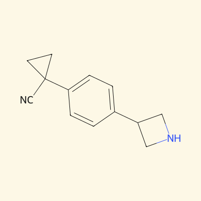 N#CC1(c2ccc(C3CNC3)cc2)CC1